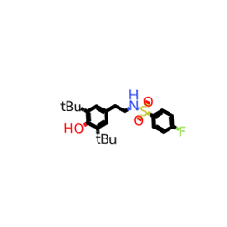 CC(C)(C)c1cc(CCNS(=O)(=O)c2ccc(F)cc2)cc(C(C)(C)C)c1O